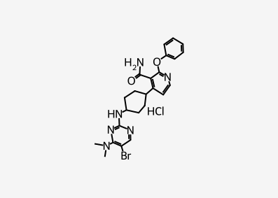 CN(C)c1nc(NC2CCC(c3ccnc(Oc4ccccc4)c3C(N)=O)CC2)ncc1Br.Cl